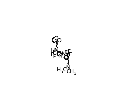 CCN(CC)CCCc1ccc(Nc2cc(NCCCN3C=CC=COC3=O)c(C(F)(F)F)cn2)c(C(F)(F)F)c1